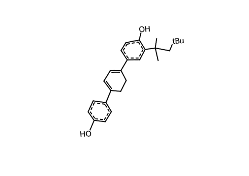 CC(C)(C)CC(C)(C)c1cc(C2=CC=C(c3ccc(O)cc3)CC2)ccc1O